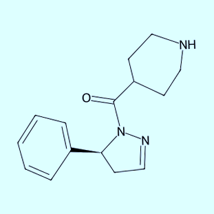 O=C(C1CCNCC1)N1N=CC[C@H]1c1ccccc1